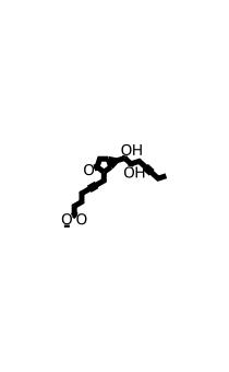 CCC#CCC(O)C(O)C1C2CC(=O)C(CC#CCCCC(=O)OC)C21